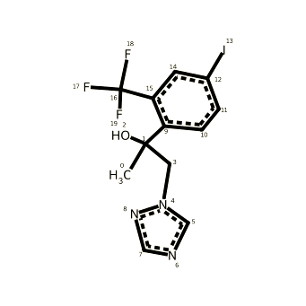 CC(O)(Cn1cncn1)c1ccc(I)cc1C(F)(F)F